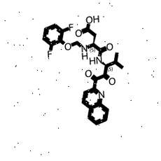 CC(C)[C@H](NC(=O)[C@H](CC(=O)O)NCOc1c(F)cccc1F)C(=O)C(=O)c1ccc2ccccc2n1